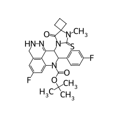 CN1C(=S)N(C2C3=NNCc4cc(F)cc(c43)N(C(=O)OC(C)(C)C)C2c2ccc(F)cc2)C(=O)C12CCC2